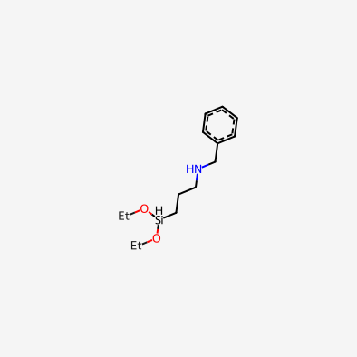 CCO[SiH](CCCNCc1ccccc1)OCC